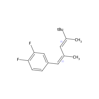 CC(=C/c1ccc(F)c(F)c1)/C=C(\C)C(C)(C)C